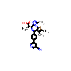 Cc1sc2c(c1C)C(c1ccc(-c3cncc(C#N)c3)cc1)=N[C@@H](C(C)C(=O)O)c1nnc(C)n1-2